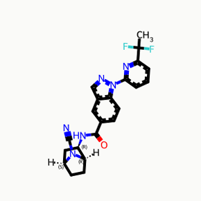 CC(F)(F)c1cccc(-n2ncc3cc(C(=O)N[C@@H]4C[C@@H]5CC[C@H]4N5C#N)ccc32)n1